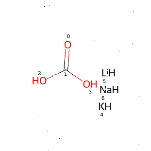 O=C(O)O.[KH].[LiH].[NaH]